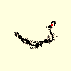 COc1cc2c(cc1OCCCOc1cc3c(cc1OC)C(=O)N1C=C(c4ccc(N5CCN(C)CC5)cc4)CC1C=N3)N=CC1CC(c3ccc(NC(=O)C(C)NC(=O)C(NC(=O)CCCCCN4C(=O)CC(C5CCCCCCC5)C4=O)C(C)C)cc3)=CN1C2=O